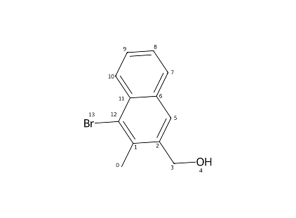 Cc1c(CO)cc2ccccc2c1Br